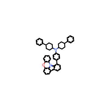 c1ccc(C2CCC(N(c3ccc(-c4cccc5c6cccc7c6n(c45)-c4ccccc4O7)cc3)C3CCC(c4ccccc4)CC3)CC2)cc1